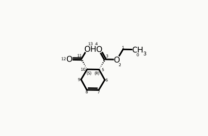 CCOC(=O)[C@@H]1CC=CC[C@@H]1C(=O)O